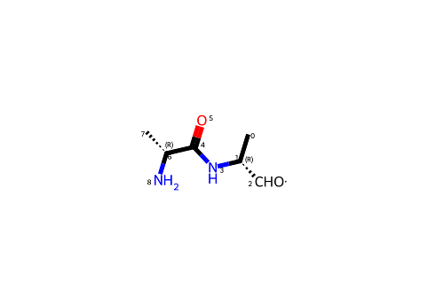 C[C@H]([C]=O)NC(=O)[C@@H](C)N